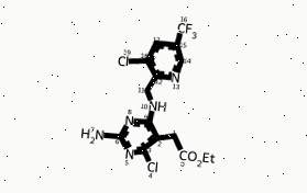 CCOC(=O)Cc1c(Cl)nc(N)nc1NCc1ncc(C(F)(F)F)cc1Cl